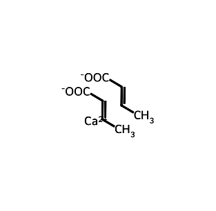 CC=CC(=O)[O-].CC=CC(=O)[O-].[Ca+2]